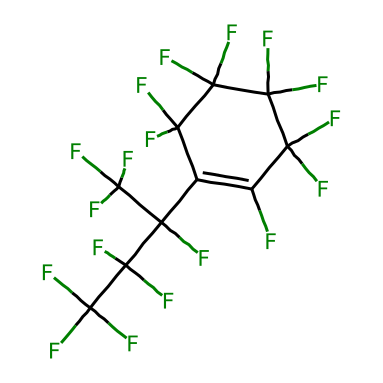 FC1=C(C(F)(C(F)(F)F)C(F)(F)C(F)(F)F)C(F)(F)C(F)(F)C(F)(F)C1(F)F